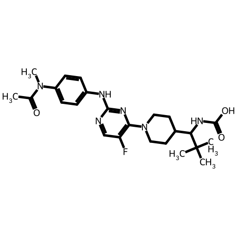 CC(=O)N(C)c1ccc(Nc2ncc(F)c(N3CCC(C(NC(=O)O)C(C)(C)C)CC3)n2)cc1